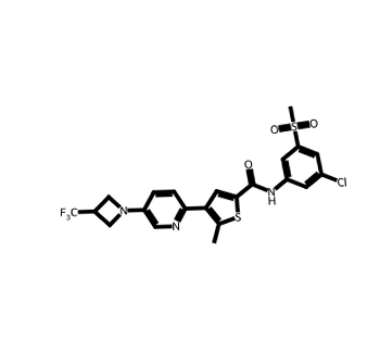 Cc1sc(C(=O)Nc2cc(Cl)cc(S(C)(=O)=O)c2)cc1-c1ccc(N2CC(C(F)(F)F)C2)cn1